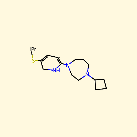 CC(C)SC1=C[C]=C(N2CCCN(C3CCC3)CC2)NC1